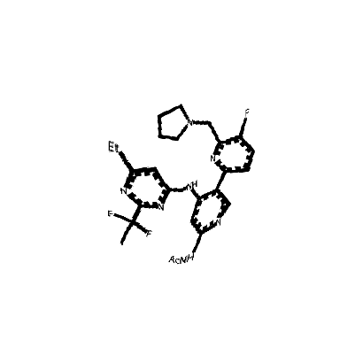 CCc1cc(Nc2cc(NC(C)=O)ncc2-c2ccc(F)c(CN3CCCC3)n2)nc(C(C)(F)F)n1